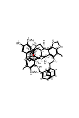 COc1cc2c(cc1O)CCN[C@]21CS[C@@H]2c3c(OCc4ccccc4)c(C)c4c(c3[C@H](COC1=O)N1C2[C@H]2c3c(cc(C)c(OC)c3OCc3ccccc3)C[C@H]([C@@H]1C#N)N2C)OCO4